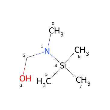 CN(CO)[Si](C)(C)C